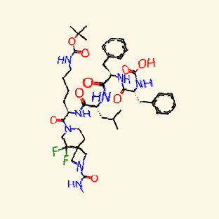 CNC(=O)N1CC2(CCN(C(=O)[C@@H](CCCCNC(=O)OC(C)(C)C)NC(=O)[C@@H](CC(C)C)NC(=O)[C@@H](Cc3ccccc3)NC(=O)[C@@H](Cc3ccccc3)NC(=O)O)CC2(F)F)C1